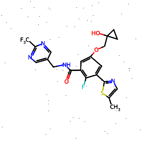 Cc1cnc(-c2cc(OCC3(O)CC3)cc(C(=O)NCc3cnc(C(F)(F)F)nc3)c2F)s1